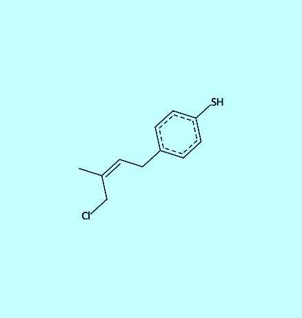 CC(=CCc1ccc(S)cc1)CCl